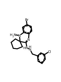 NN1c2cc(Br)ccc2N=C(NNCc2cccc(Cl)c2)C12CCCCC2